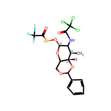 C[C@@H]1C(NC(=O)C(Cl)(Cl)Cl)[C@H](OPC(=O)C(F)(F)F)OC2COC(c3ccccc3)O[C@H]21